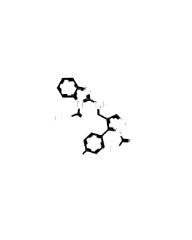 CCCC(=O)n1ncc(CNc2nc3ccccc3n2C(=O)CCC)c1-c1ccc(F)cc1